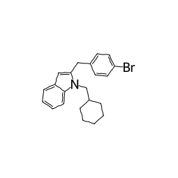 Brc1ccc(Cc2cc3ccccc3n2CC2CCCCC2)cc1